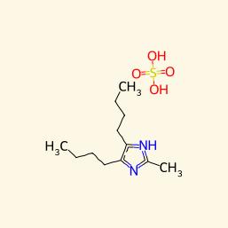 CCCCc1nc(C)[nH]c1CCCC.O=S(=O)(O)O